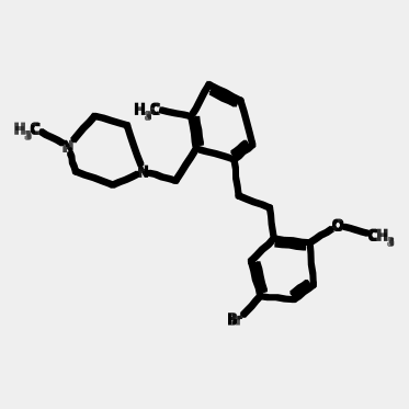 COc1ccc(Br)cc1CCc1cccc(C)c1CN1CCN(C)CC1